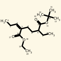 CC/C=C(/CCC(CC)C(=O)OC(C)(C)C)C(=O)OCC